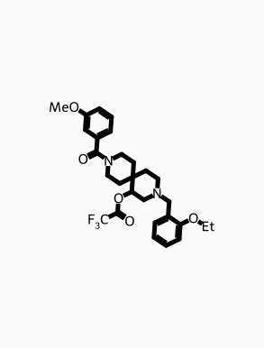 CCOc1ccccc1CN1CCC2(CCN(C(=O)c3cccc(OC)c3)CC2)C(OC(=O)C(F)(F)F)C1